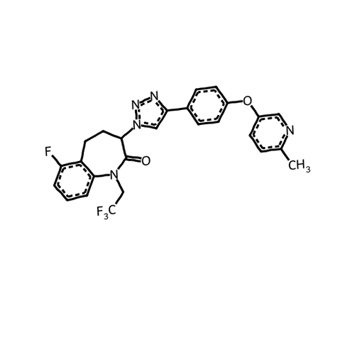 Cc1ccc(Oc2ccc(-c3cn(C4CCc5c(F)cccc5N(CC(F)(F)F)C4=O)nn3)cc2)cn1